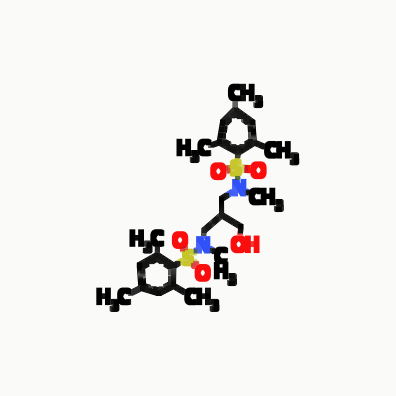 Cc1cc(C)c(S(=O)(=O)N(C)CC(CO)CN(C)S(=O)(=O)c2c(C)cc(C)cc2C)c(C)c1